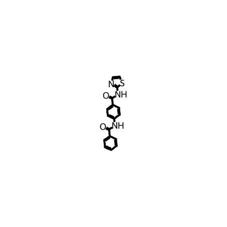 O=C(Nc1ccc(C(=O)Nc2nccs2)cc1)c1ccccc1